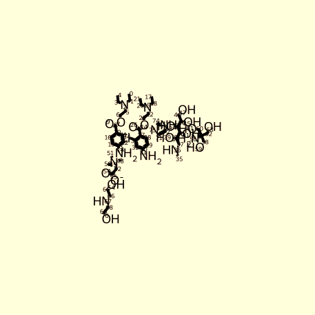 CCN(CC)CCOC(=O)c1ccc(N)cc1.CCN(CC)CCOC(=O)c1ccc(N)cc1Cl.CNC[C@H](O)[C@@H](O)[C@H](O)[C@H](O)CO.C[N+](C)(C)CC(=O)[O-].NC(CO)(CO)CO.OCCNCCO.c1c[nH]cn1